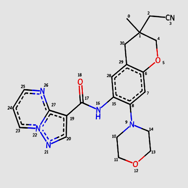 CC1(CC#N)COc2cc(N3CCOCC3)c(NC(=O)c3cnn4cccnc34)cc2C1